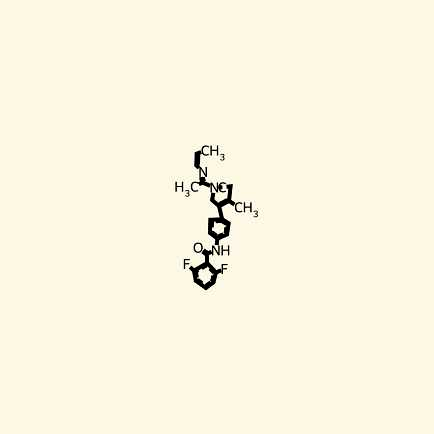 C/C=C\N=C(/C)N1CCC(C)=C(c2ccc(NC(=O)c3c(F)cccc3F)cc2)C1